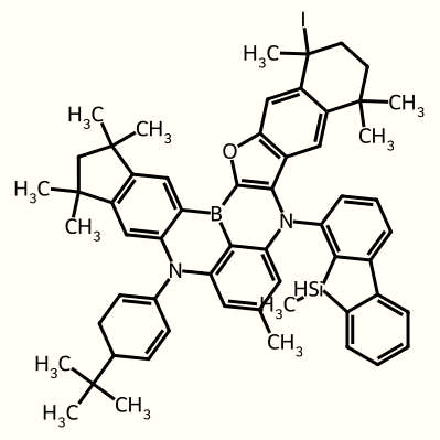 Cc1cc2c3c(c1)N(c1cccc4c1[SiH](C)c1ccccc1-4)c1c(oc4cc5c(cc14)C(C)(C)CCC5(C)I)B3c1cc3c(cc1N2C1=CCC(C(C)(C)C)C=C1)C(C)(C)CC3(C)C